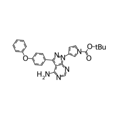 CC(C)(C)OC(=O)n1ccc(-n2nc(-c3ccc(Oc4ccccc4)cc3)c3c(N)ncnc32)c1